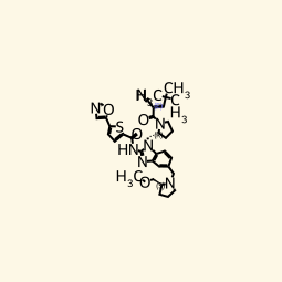 COC[C@@H]1CCCN1Cc1ccc2c(c1)nc(NC(=O)c1ccc(-c3cnco3)s1)n2C[C@H]1CCCN1C(=O)/C(C#N)=C/C(C)(C)C